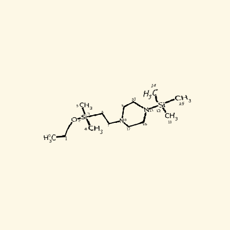 CCO[Si](C)(C)CCN1CCN([Si](C)(C)C)CC1